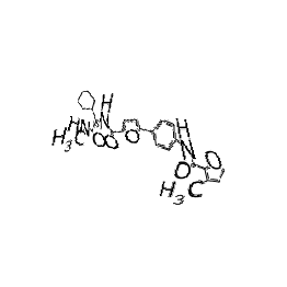 CNC(=O)[C@@H](NC(=O)c1ccc(-c2ccc(NC(=O)c3occc3C)cc2)o1)C1CCCCC1